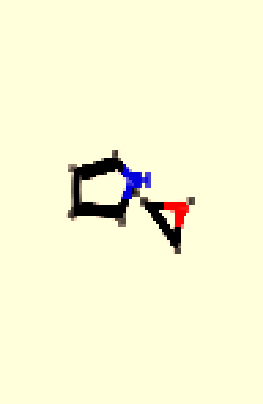 C1CO1.c1cc[nH]c1